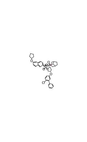 NC1CC2CCC(C1)C2C(=O)[C@@H]1C[C@H](Oc2ccc(Cl)c(-c3ccccc3)c2)CN1S(=O)(=O)c1ccc2cc(OC3CCCC3)ccc2c1